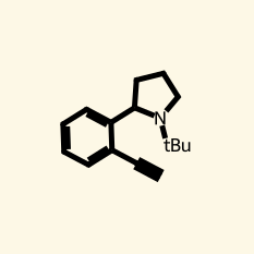 C#Cc1ccccc1C1CCCN1C(C)(C)C